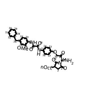 CCCCCCCCC1CC(=O)N(N(N)C(=O)COc2ccc(NC(=O)C(=O)Nc3ccc(Cc4ccccc4)cc3OC)cc2)C1=O